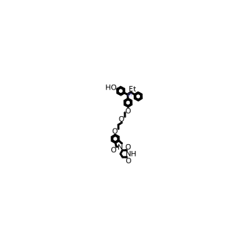 CC/C(=C(\c1ccc(O)cc1)c1ccc(OCCOCCCOc2ccc3c(c2)CN(C2CCC(=O)NC2=O)C3=O)cc1)c1ccccc1